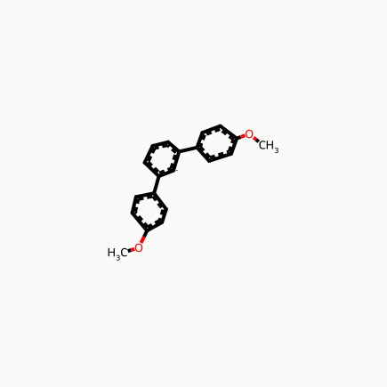 COc1ccc(-c2[c]c(-c3ccc(OC)cc3)ccc2)cc1